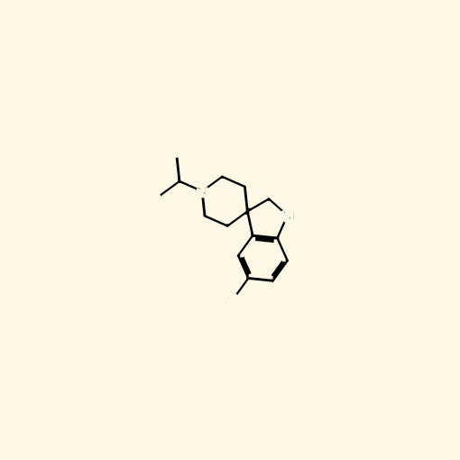 CC(C)N1CCC2(CC1)CNc1ccc(Br)cc12